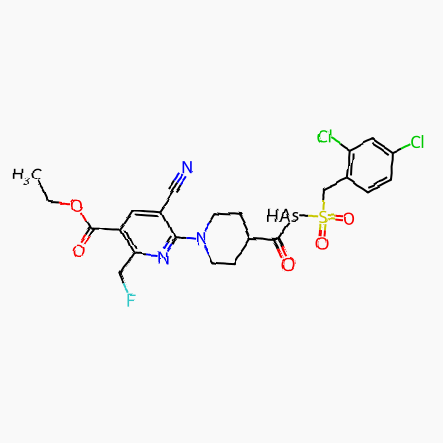 CCOC(=O)c1cc(C#N)c(N2CCC(C(=O)[AsH]S(=O)(=O)Cc3ccc(Cl)cc3Cl)CC2)nc1CF